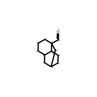 O=[C]C12CCCC3CC(CCC31)C2